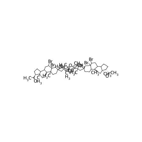 CC(=O)[C@H]1CCC2C3CC(Br)C4(Br)C[C@@](O)(CC(C)(C)[Si](C)(C)O[Si](C)(C)C(C)(C)C[C@]5(O)CC[C@]6(C)C7=CC[C@@]8(C)C(CC[C@@H]8C(C)=O)C7CC(Br)C6(Br)C5)CC[C@]4(C)C3=CC[C@@]21C